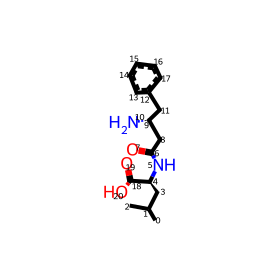 CC(C)C[C@H](NC(=O)C[C@H](N)Cc1ccccc1)C(=O)O